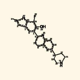 Cn1cc2cc(-c3ccc4cc(C5CCNCC5)ccc4n3)c(O)c(F)c2n1